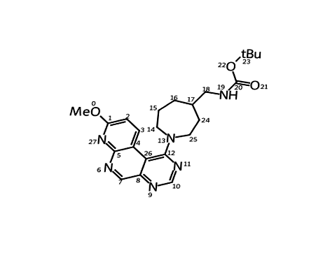 COc1ccc2c(ncc3ncnc(N4CCCC(CNC(=O)OC(C)(C)C)CC4)c32)n1